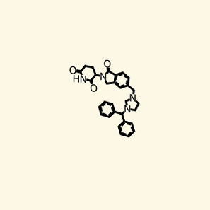 O=C1CCC(N2Cc3cc(CN4CCN(C(c5ccccc5)c5ccccc5)C4)ccc3C2=O)C(=O)N1